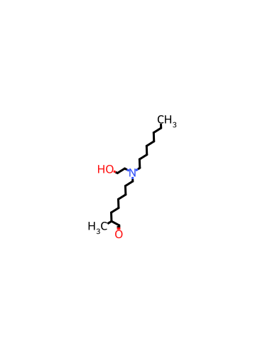 CCCCCCCCN(CCO)CCCCCCC(C)C=O